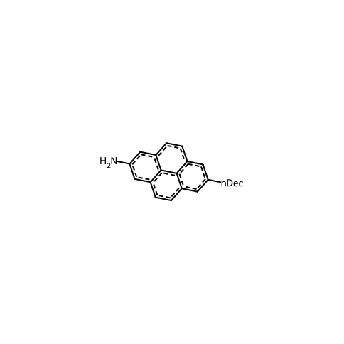 CCCCCCCCCCc1cc2ccc3cc(N)cc4ccc(c1)c2c34